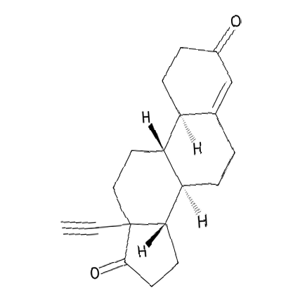 C#CC12CC[C@H]3[C@@H](CCC4=CC(=O)CC[C@@H]43)[C@@H]1CCC2=O